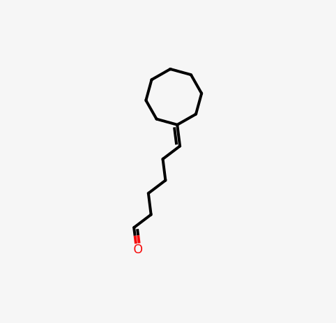 O=CCCCCC=C1CCCCCCC1